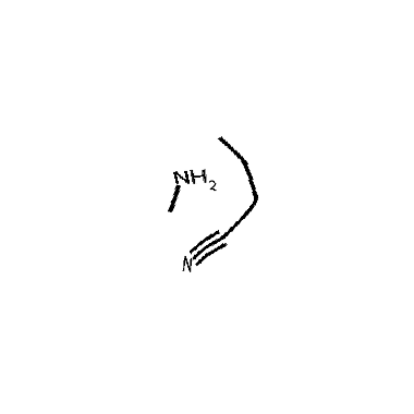 CCC#N.CN